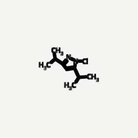 CC(C)c1cc(C(C)C)n(Cl)n1